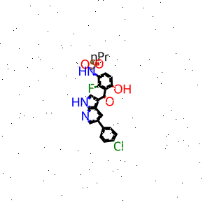 CCCS(=O)(=O)Nc1ccc(O)c(C(=O)c2c[nH]c3ncc(-c4ccc(Cl)cc4)cc23)c1F